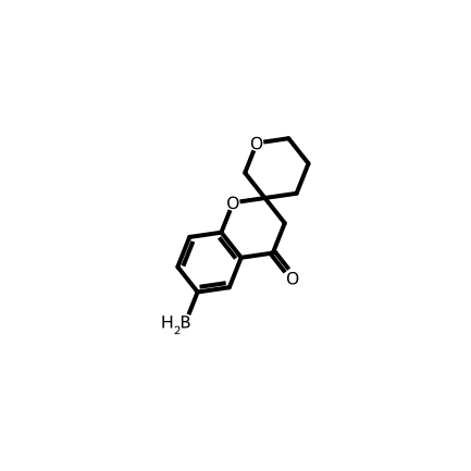 Bc1ccc2c(c1)C(=O)CC1(CCCOC1)O2